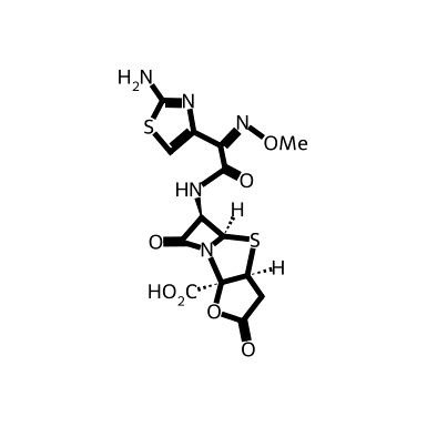 CO/N=C(\C(=O)N[C@@H]1C(=O)N2[C@@H]1S[C@H]1CC(=O)O[C@]12C(=O)O)c1csc(N)n1